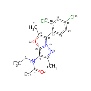 CCC(=O)N(CC(F)(F)F)c1c(C)nn2c(-c3ccc(Cl)cc3Cl)c(C)oc12